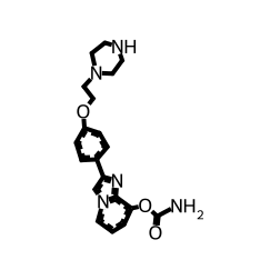 NC(=O)Oc1cccn2cc(-c3ccc(OCCN4CCNCC4)cc3)nc12